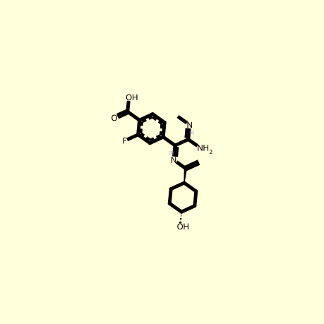 C=C(/N=C(\C(N)=N/C)c1ccc(C(=O)O)c(F)c1)[C@H]1CC[C@H](O)CC1